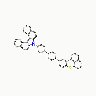 c1cc2c3c(cccc3c1)-c1cc(-c3ccc(-c4ccc(-n5c6ccc7ccccc7c6c6c7ccccc7ccc65)cc4)cc3)ccc1S2